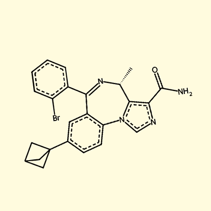 C[C@H]1N=C(c2ccccc2Br)c2cc(C34CC(C3)C4)ccc2-n2cnc(C(N)=O)c21